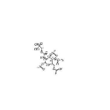 CC(=O)OCC1OC(OC(C)=O)[C@@H](NC(=O)OCC(Cl)(Cl)Cl)C(OC(C)=O)[C@H]1OC(C)=O